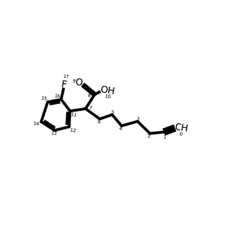 C#CCCCCCC(C(=O)O)c1ccccc1F